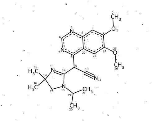 COc1cc2ncnc(C(C#N)C3=NC(C)(C)CN3C(C)C)c2cc1OC